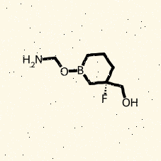 NCOB1CCC[C@@](F)(CO)C1